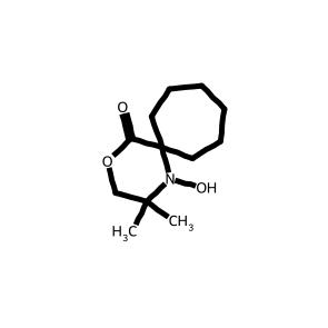 CC1(C)COC(=O)C2(CCCCCC2)N1O